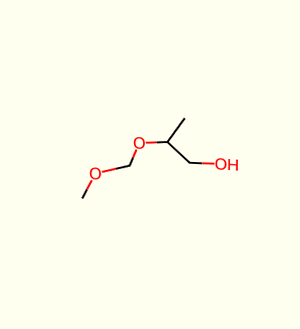 COCOC(C)CO